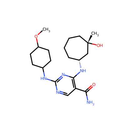 COC1CCC(Nc2ncc(C(N)=O)c(N[C@@H]3CCCC[C@](C)(O)C3)n2)CC1